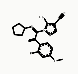 COc1ccc(C(=O)C(=NC2CCCC2)n2ncc(C#N)c2N)c(F)c1